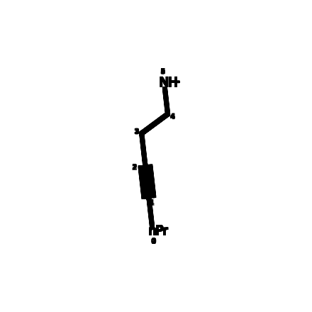 CCCC#CCC[NH]